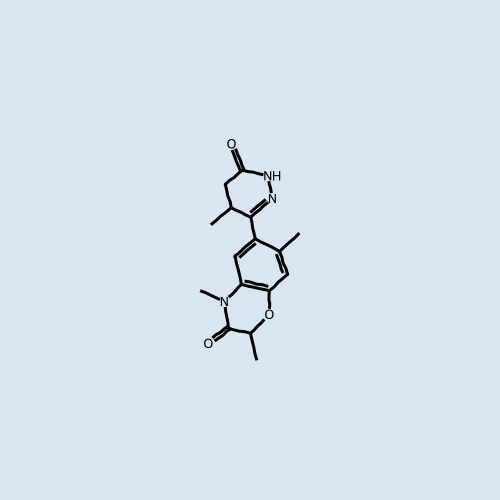 Cc1cc2c(cc1C1=NNC(=O)CC1C)N(C)C(=O)C(C)O2